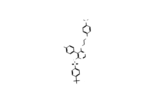 Cc1ccc(-c2c(NS(=O)(=O)c3ccc(C(C)(C)C)cc3)ncnc2OCCOc2ccc(N(C)C)cc2)cc1